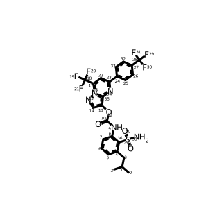 CC(C)Cc1cccc(NC(=O)Oc2cnn3c(C(F)(F)F)cc(-c4ccc(C(F)(F)F)cc4)nc23)c1S(N)(=O)=O